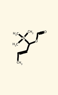 C/C=C/C(O[C]=O)[Si](C)(C)C